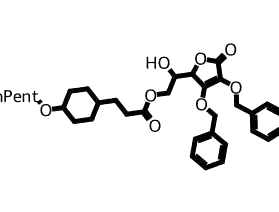 CCCCCOC1CCC(CCC(=O)OCC(O)C2OC(=O)C(OCc3ccccc3)=C2OCc2ccccc2)CC1